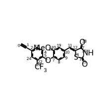 C#Cc1ccc(Oc2ccc(/C=C3\SC(=O)NC3=O)cc2OC)c(C(F)(F)F)c1